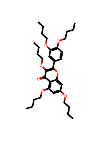 CCCCOc1cc(OCCCC)c2c(=O)c(OCCCC)c(-c3ccc(OCCCC)c(OCCCC)c3)oc2c1